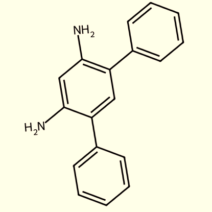 Nc1cc(N)c(-c2ccccc2)cc1-c1ccccc1